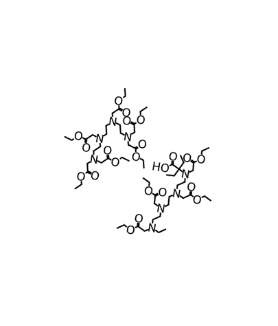 CCOC(=O)CN(CC)CCN(CCN(CCN(CC(=O)OCC)C(CC)(CC)C(=O)O)CC(=O)OCC)CC(=O)OCC.CCOC(=O)CN(CCN(CCN(CC(=O)OCC)CC(=O)OCC)CC(=O)OCC)CCN(CC(=O)OCC)CC(=O)OCC